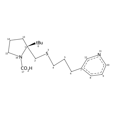 CC(C)(C)[C@]1(CSCCCc2cccnc2)CCCN1C(=O)O